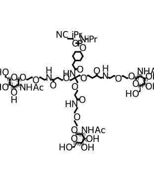 CC(=O)N[C@H]1[C@H](OCCOCCNCC(=O)CCOCC(COCCC(=O)NCCOCCO[C@@H]2O[C@H](CO)[C@H](O)[C@H](O)[C@H]2NC(C)=O)(COCCC(=O)NCCOCCO[C@@H]2O[C@H](CO)[C@H](O)[C@H](O)[C@H]2NC(C)=O)NC(=O)CC2CCC(OP(OCCC#N)N(C(C)C)C(C)C)CC2)O[C@H](CO)[C@H](O)[C@@H]1O